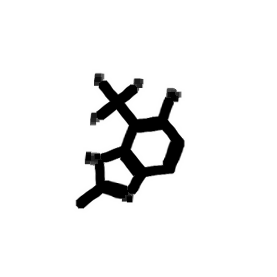 Cc1nc2ccc(Br)c(C(F)(F)F)c2[nH]1